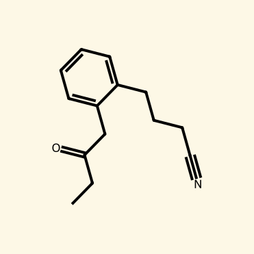 CCC(=O)Cc1ccccc1CCCC#N